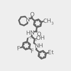 CCc1cccc(CNC[C@H](O)[C@H](Cc2cc(F)cc(F)c2)NC(=O)c2cc(C)cc(C(=O)N3CCCCCC3)c2)c1